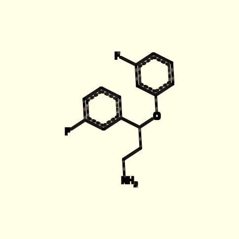 NCCC(Oc1cccc(F)c1)c1cccc(F)c1